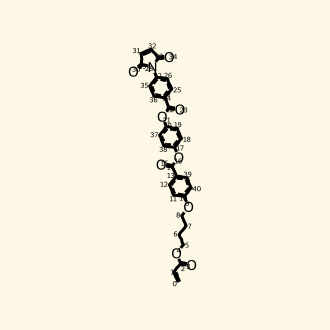 C=CC(=O)OCCCCOc1ccc(C(=O)Oc2ccc(OC(=O)c3ccc(N4C(=O)C=CC4=O)cc3)cc2)cc1